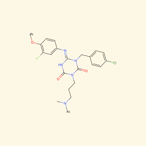 CC(=O)N(C)CCCn1c(=O)[nH]/c(=N\c2ccc(OC(C)C)c(F)c2)n(Cc2ccc(Cl)cc2)c1=O